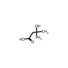 CC(O)(P)CC(=O)O